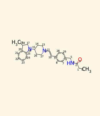 CCC(=O)NCc1ccc(C=CN2CCC(N3CC(C)c4ccccc43)CC2)cc1